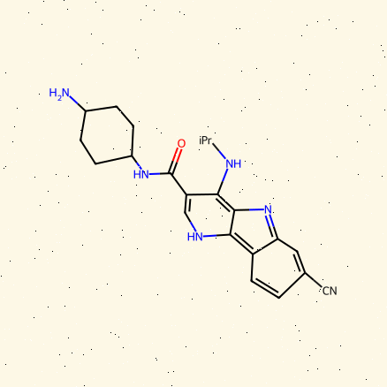 CC(C)Nc1c(C(=O)NC2CCC(N)CC2)c[nH]c2c3ccc(C#N)cc3nc1-2